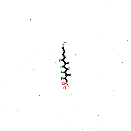 O=S(=O)([O-])CC(F)C(F)C(F)C(F)C(F)C(F)C(F)CCCCF.[Li+]